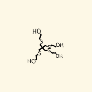 OCCSCC(CSCCO)(CSCCO)CSCCO